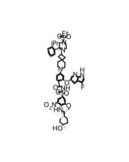 CCS(=O)(=O)N1CCN(C2CC3(CCN(c4ccc(C(=O)NS(=O)(=O)c5cc6c(c([N+](=O)[O-])c5)N[C@@H]([C@H]5CC[C@](C)(O)CC5)CO6)c(Oc5cnc6[nH]cc(F)c6c5)c4)CC3)C2)[C@@H](c2ccccc2C(C)C)C1